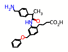 CC(C(=O)Nc1cc(COc2ccccc2)ccc1CCCC(=O)O)c1ccc(CN)cc1